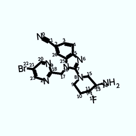 N#Cc1ccc2nc(N3CC[C@@H](F)[C@H](N)C3)n(Cc3ncc(Br)cn3)c2c1